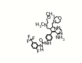 COCCN(C)CC1C(c2ccc(NC(=O)Nc3cc(C(F)(F)F)ccc3F)cc2)=C2C(N)=NC=NN2C1CN1CCOCC1